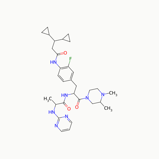 CC(Nc1ncccn1)C(=O)NC(Cc1ccc(NC(=O)CC(C2CC2)C2CC2)c(F)c1)C(=O)N1CCN(C)C(C)C1